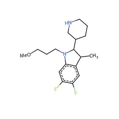 COCCCN1c2cc(F)c(F)cc2C(C)C1C1CCCNC1